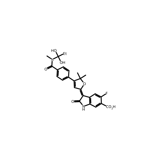 CCC(O)(O)N(C)C(=O)c1ccc(C2=C/C(=C3\C(=O)Nc4cc(C(=O)O)c(F)cc43)OC2(C)C)cc1